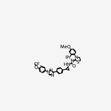 COc1ccc(N2CCS/C2=N\C(=O)NC2CC2c2ccc(-c3ncn(-c4ccc(OC(F)(F)F)cc4)n3)cc2)c(C(C)C)c1